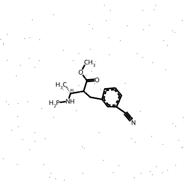 COC(=O)C(Cc1cccc(C#N)c1)[C@@H](C)NP